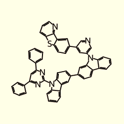 c1ccc(-c2cc(-c3ccccc3)nc(-n3c4ccccc4c4cc(-c5ccc6c7ccccc7n(-c7cncc(-c8ccc9sc%10cccnc%10c9c8)c7)c6c5)ccc43)n2)cc1